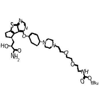 CC(C)(C)OC(=O)NCCOCCOCCN1CCN([C@H]2CC[C@H](Oc3ncnc4sc5c(c34)[C@@H](C[C@H](O)C(N)=O)CC5)CC2)CC1